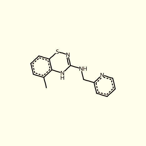 Cc1cccc2c1NC(NCc1ccccn1)=NS2